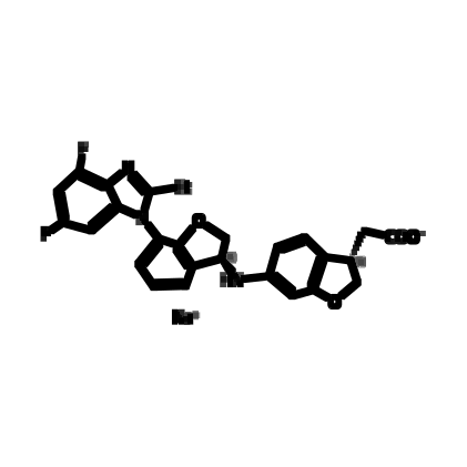 CCc1nc2c(F)cc(F)cc2n1-c1cccc2c1OC[C@H]2Nc1ccc2c(c1)OC[C@H]2CC(=O)[O-].[Na+]